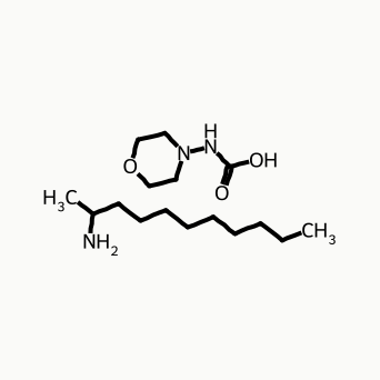 CCCCCCCCCC(C)N.O=C(O)NN1CCOCC1